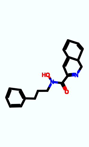 O=C(C1=NCC2C=CC=CC2=C1)N(O)CCCc1ccccc1